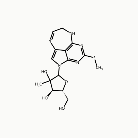 CSc1nc2c3c(cn(C4O[C@H](CO)[C@@H](O)C4(C)O)c3n1)N=CCN2